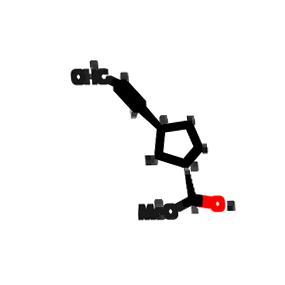 COC(=O)[C@H]1CC[C@H](C#CC=O)C1